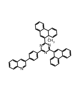 C[C@@]12C=CC=CC1c1ccccc1C=C2c1nc(-c2ccc(-c3cnc4ccccc4c3)cc2)nc(-c2cc3ccccc3c3ccccc23)n1